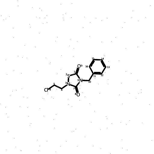 O=c1sn(CCCl)c(=O)n1Cc1ccccc1